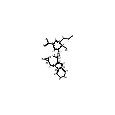 C=C(C)c1cc(CCC)c(C)c(/N=C(\C)c2cc3c(n2CC2CC2)=CCCC=3)c1